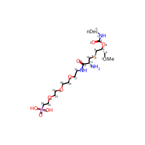 CCCCCCCCCCNC(=O)O[C@H](COC)CSC[C@H](N)C(=O)NCCOCCOCCOCCP(=O)(O)O